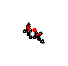 Cc1cc(C)c(-c2ccc3c(c2)c2ccccc2n3-c2ccc(-c3cccc(-c4ccc(-n5c6ccccc6c6cc(-c7c(C)cc(C)cc7C)ccc65)c(-c5nc(-c6ccccc6)nc(-c6ccccc6)n5)c4)c3)cc2-c2nc(-c3ccccc3)nc(-c3ccccc3)n2)c(C)c1